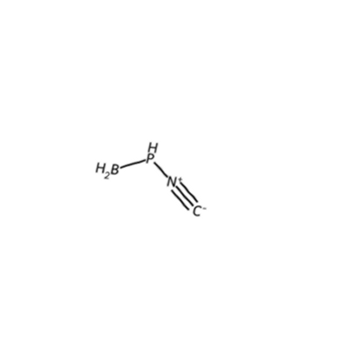 BP[N+]#[C-]